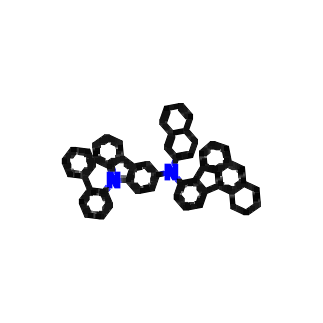 C1=CC2=CC(N(c3ccc4c(c3)c3ccccc3n4-c3ccccc3-c3ccccc3)c3cccc4c3-c3cccc5cc6c(c-4c35)CCC=C6)=CCC2C=C1